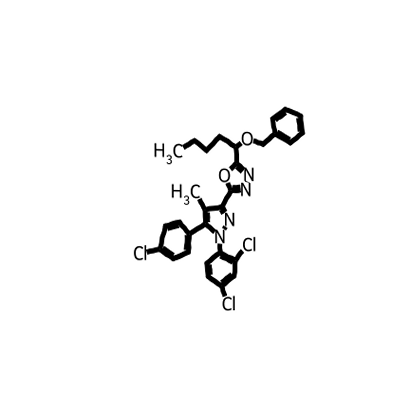 CCCCC(OCc1ccccc1)c1nnc(-c2nn(-c3ccc(Cl)cc3Cl)c(-c3ccc(Cl)cc3)c2C)o1